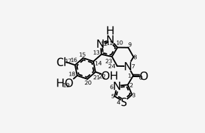 O=C(c1cscn1)N1CCc2[nH]nc(-c3cc(Cl)c(O)cc3O)c2C1